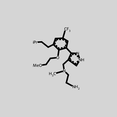 COCCOc1c(CCC(C)C)cc(C(F)(F)F)cc1-c1n[nH]cc1CN(C)CCN